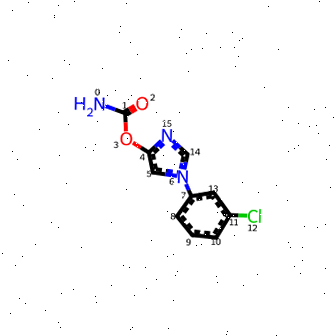 NC(=O)Oc1cn(-c2cccc(Cl)c2)cn1